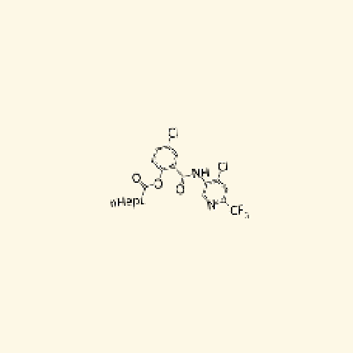 CCCCCCCC(=O)Oc1ccc(Cl)cc1C(=O)Nc1cnc(C(F)(F)F)cc1Cl